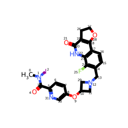 CN(I)C(=O)c1ccc(OC2CN(Cc3ccc4c5c(c(=O)[nH]c4c3F)CCO5)C2)cn1